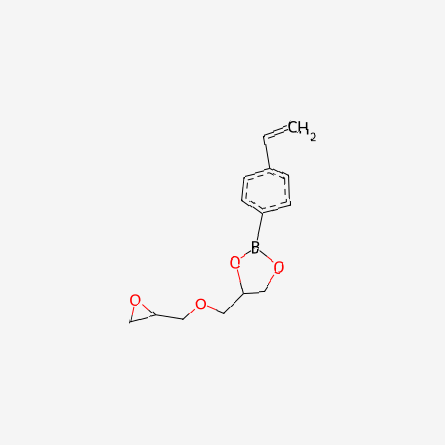 C=Cc1ccc(B2OCC(COCC3CO3)O2)cc1